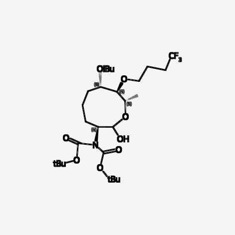 CC(C)CO[C@H]1CCC[C@H](N(C(=O)OC(C)(C)C)C(=O)OC(C)(C)C)C(O)O[C@@H](C)[C@@H]1OCCCC(F)(F)F